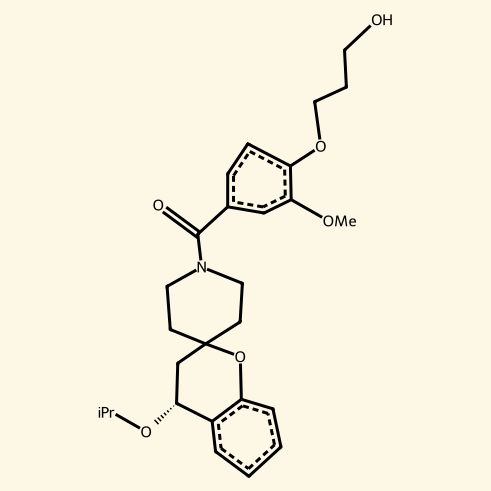 COc1cc(C(=O)N2CCC3(CC2)C[C@@H](OC(C)C)c2ccccc2O3)ccc1OCCCO